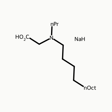 CCCCCCCCCCCCN(CCC)CC(=O)O.[NaH]